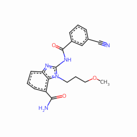 COCCCn1c(NC(=O)c2cccc(C#N)c2)nc2cccc(C(N)=O)c21